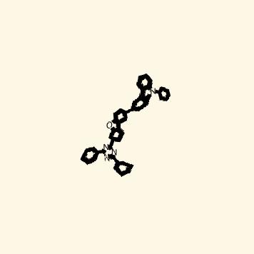 c1ccc(-c2nc(-c3ccccc3)nc(-c3ccc4c(c3)oc3ccc(-c5ccc6c(c5)c5ccccc5n6-c5ccccc5)cc34)n2)cc1